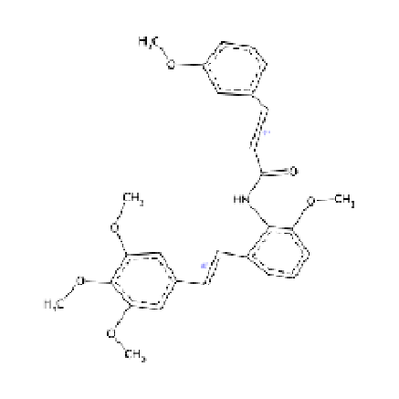 COc1cccc(/C=C/C(=O)Nc2c(/C=C/c3cc(OC)c(OC)c(OC)c3)cccc2OC)c1